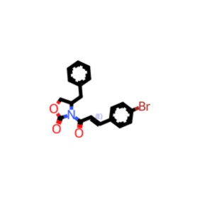 O=C(/C=C/c1ccc(Br)cc1)N1C(=O)OCC1Cc1ccccc1